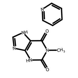 Cn1c(=O)[nH]c2nc[nH]c2c1=O.c1ccncc1